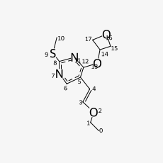 CCOC=Cc1cnc(SC)nc1OC1COC1